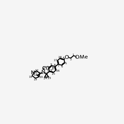 COCCOc1ccc(-c2ccc(C3(N(C(=O)O)C4CN5CCC4CC5)CC3)cc2)cc1